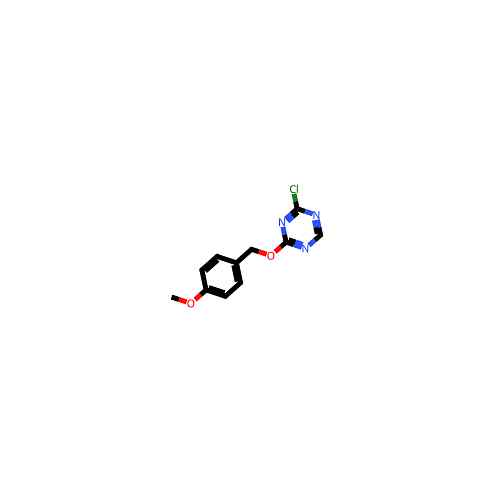 COc1ccc(COc2ncnc(Cl)n2)cc1